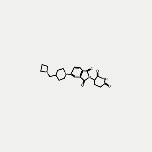 O=C1CCC(N2C(=O)c3ccc(N4CCC(CN5CCC5)CC4)cc3C2=O)C(=O)N1